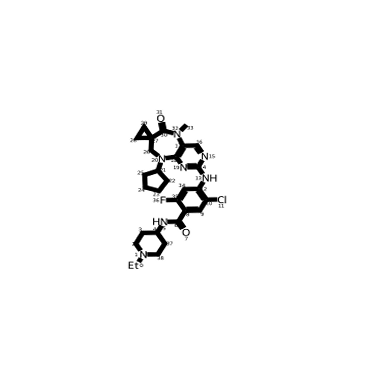 CCN1CCC(NC(=O)c2cc(Cl)c(Nc3ncc4c(n3)N(C3CCCC3)CC3(CC3)C(=O)N4C)cc2F)CC1